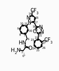 C[C@H](N)C(=O)NCc1cccc(-n2nc(C(F)(F)F)cc2-c2nnc(-c3ccccc3C(F)(F)F)o2)c1